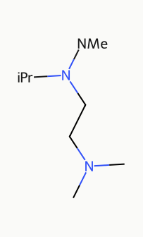 CNN(CCN(C)C)C(C)C